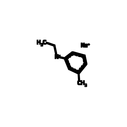 CC[N-]c1cccc(C)c1.[Na+]